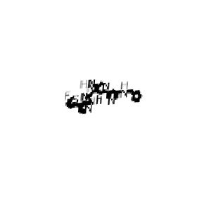 Fc1ccc(-c2ccnc3[nH]c(-c4n[nH]c5cnc(-c6cncc(CNCC7CCCC7)c6)c(F)c45)nc23)s1